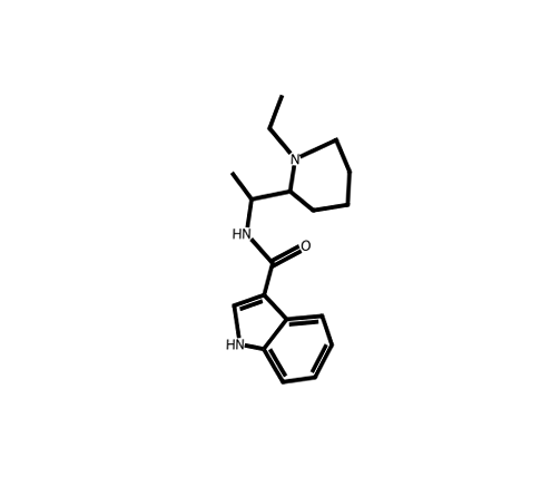 CCN1CCCCC1C(C)NC(=O)c1c[nH]c2ccccc12